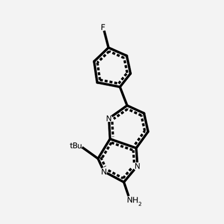 CC(C)(C)c1nc(N)nc2ccc(-c3ccc(F)cc3)nc12